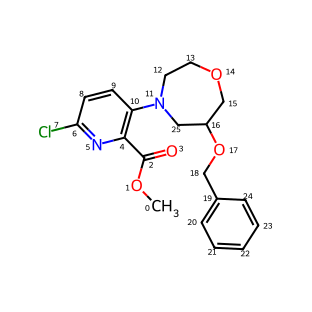 COC(=O)c1nc(Cl)ccc1N1CCOCC(OCc2ccccc2)C1